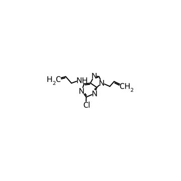 C=CCNc1nc(Cl)nc2c1ncn2CC=C